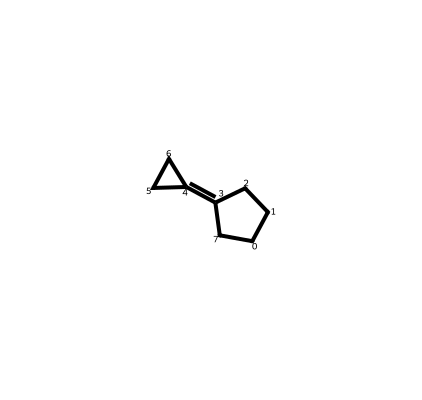 C1CCC(=C2CC2)C1